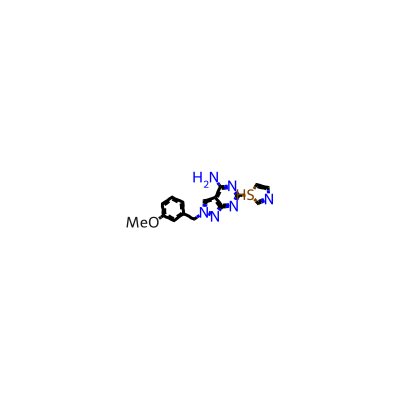 COc1cccc(Cn2cc3c(N)nc([SH]4C=CN=C4)nc3n2)c1